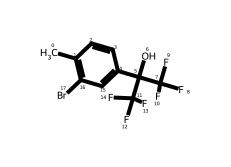 Cc1ccc(C(O)(C(F)(F)F)C(F)(F)F)cc1Br